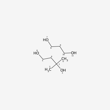 CC(C)(O)CCO.OCCCO